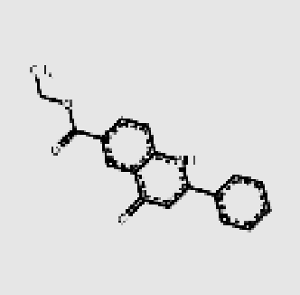 CCOC(=O)c1ccc2[nH]c(-c3ccccc3)cc(=O)c2c1